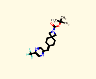 CC(C)(C)OC(=O)N1CC2(CCC(=Cc3cnc(C(F)(F)F)cn3)CC2)C1